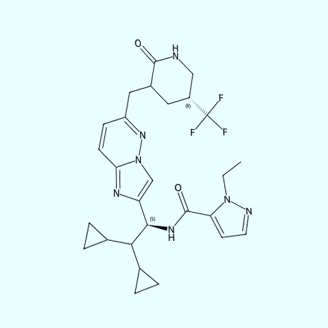 CCn1nccc1C(=O)N[C@H](c1cn2nc(CC3C[C@@H](C(F)(F)F)CNC3=O)ccc2n1)C(C1CC1)C1CC1